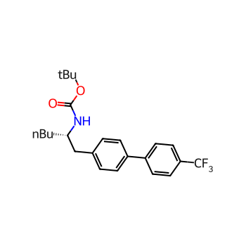 CCCC[C@@H](Cc1ccc(-c2ccc(C(F)(F)F)cc2)cc1)NC(=O)OC(C)(C)C